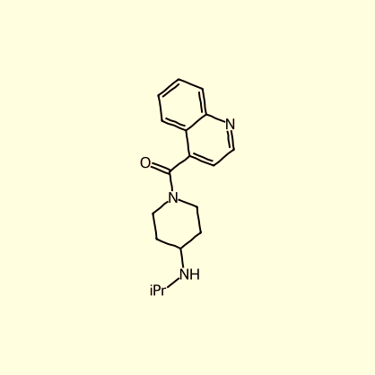 CC(C)NC1CCN(C(=O)c2ccnc3ccccc23)CC1